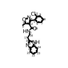 Cc1onc(-c2ccccc2Cl)c1C(=O)NCCc1nc2ccccc2[nH]1